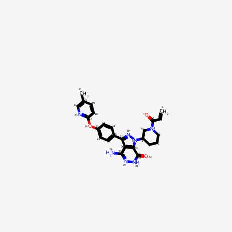 C=CC(=O)N1CCCC(n2nc(-c3ccc(Oc4ccc(C)cn4)cc3)c3c(N)n[nH]c(=O)c32)C1